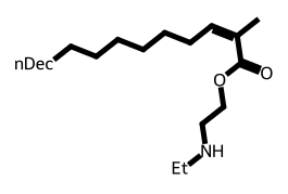 CCCCCCCCCCCCCCCCC=C(C)C(=O)OCCNCC